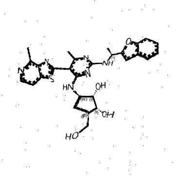 Cc1nc(N[C@@H](C)c2cc3ccccc3o2)nc(N[C@@H]2C[C@H](CO)[C@@H](O)[C@H]2O)c1-c1nc2c(C)nccc2s1